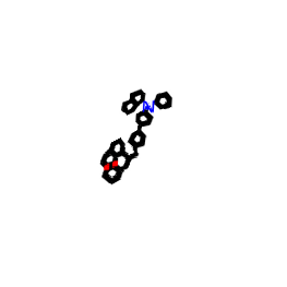 C(=C(\Cc1ccc(-c2ccc(N(c3ccccc3)c3cccc4ccccc34)cc2)cc1)c1cccc2ccccc12)/c1ccccc1